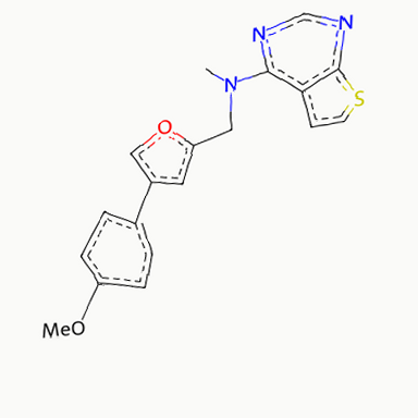 COc1ccc(-c2coc(CN(C)c3ncnc4sccc34)c2)cc1